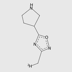 [2H]Cc1noc(C2CCNC2)n1